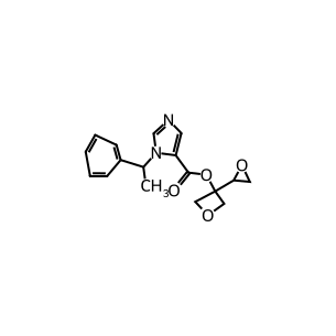 CC(c1ccccc1)n1cncc1C(=O)OC1(C2CO2)COC1